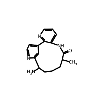 CC1CCCC(N)c2cc(ccn2)-c2ncccc2NC1=O